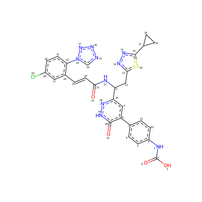 O=C(O)Nc1ccc(-c2cc(C(Cc3nnc(C4CC4)s3)NC(=O)C=Cc3cc(Cl)ccc3-n3cnnn3)n[nH]c2=O)cc1